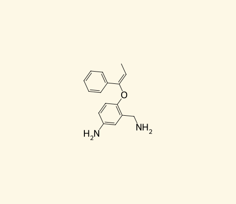 CC=C(Oc1ccc(N)cc1CN)c1ccccc1